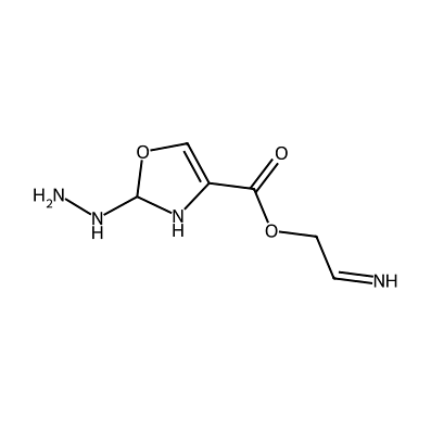 N=CCOC(=O)C1=COC(NN)N1